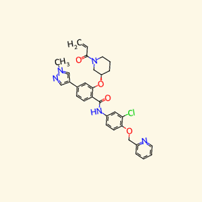 C=CC(=O)N1CCC[C@@H](Oc2cc(-c3cnn(C)c3)ccc2C(=O)Nc2ccc(OCc3ccccn3)c(Cl)c2)C1